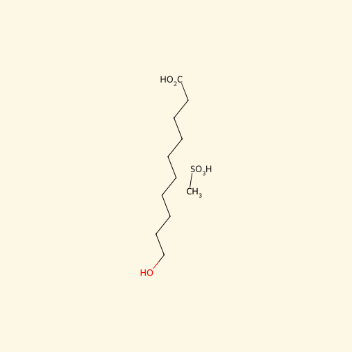 CS(=O)(=O)O.O=C(O)CCCCCCCCCO